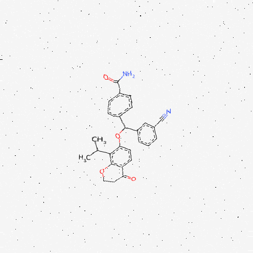 CC(C)c1c(OC(c2ccc(C(N)=O)cc2)c2cccc(C#N)c2)ccc2c1OCCC2=O